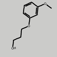 COc1[c]c(OCCCO)ccc1